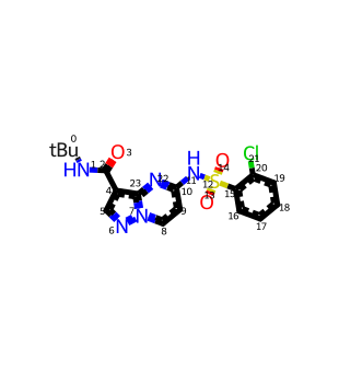 CC(C)(C)NC(=O)c1cnn2ccc(NS(=O)(=O)c3ccccc3Cl)nc12